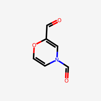 O=CC1=CN(C=O)C=CO1